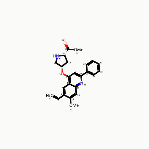 C=Cc1cc2c(O[C@H]3CN[C@H](C(=O)OC)C3)cc(-c3ccccc3)nc2cc1OC